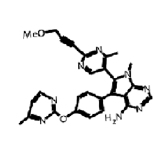 COCC#Cc1ncc(-c2c(-c3ccc(Oc4nccc(C)n4)cc3)c3c(N)ncnc3n2C)c(C)n1